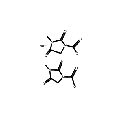 CN1C(=O)CN(C(=O)[O-])C1=O.CN1C(=O)CN(C(=O)[O-])C1=O.[Au+2]